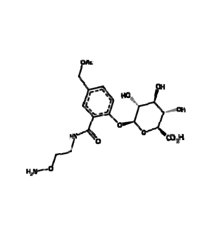 CC(=O)OCc1ccc(O[C@@H]2O[C@H](C(=O)O)[C@@H](O)[C@H](O)[C@H]2O)c(C(=O)NCCON)c1